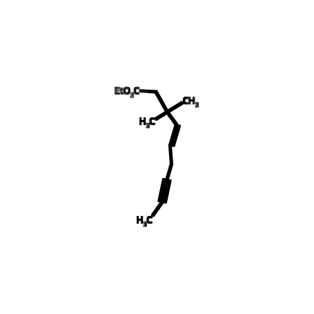 CC#CCC=CC(C)(C)CC(=O)OCC